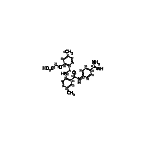 Cc1ccc(CNc2ccc(C)cc2C(=O)Nc2ccc(C(=N)N)cc2)c(OCC(=O)O)c1